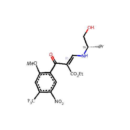 CCOC(=O)/C(=C\N[C@H](CO)C(C)C)C(=O)c1cc([N+](=O)[O-])c(C(F)(F)F)cc1OC